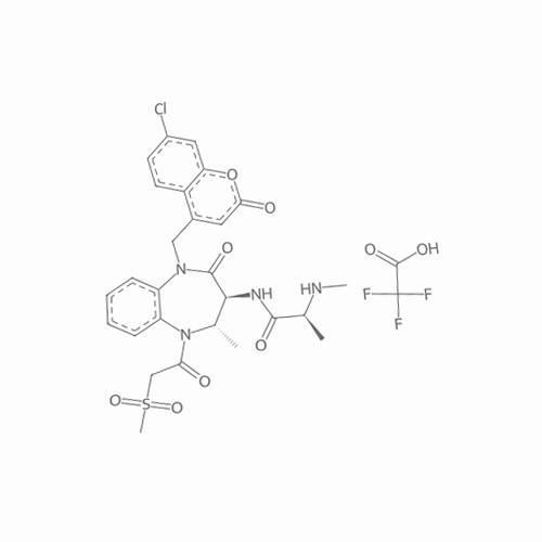 CN[C@@H](C)C(=O)N[C@@H]1C(=O)N(Cc2cc(=O)oc3cc(Cl)ccc23)c2ccccc2N(C(=O)CS(C)(=O)=O)[C@H]1C.O=C(O)C(F)(F)F